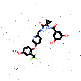 COc1ccc(Oc2ccc(CNC(=O)C3(NC(=O)c4cc(O)cc(O)c4)CC3)nc2)c(C(F)(F)F)c1